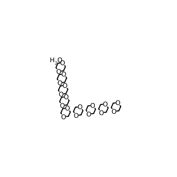 C1COCCO1.C1COCCO1.C1COCCO1.C1COCCO1.C1COCCO1.C1COCCO1.C1COCCO1.C1COCCO1.C1COCCO1.O